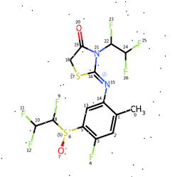 Cc1cc(F)c([S@@+]([O-])C(F)C(F)F)cc1/N=C1\SCC(=O)N1C(F)C(F)F